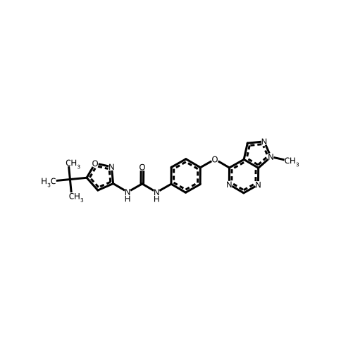 Cn1ncc2c(Oc3ccc(NC(=O)Nc4cc(C(C)(C)C)on4)cc3)ncnc21